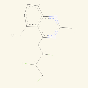 COc1cccc2nc(C(C)C)nc(CC(F)C(F)CF)c12